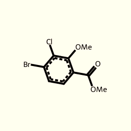 COC(=O)c1ccc(Br)c(Cl)c1OC